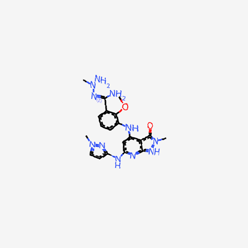 COc1c(Nc2cc(Nc3ccn(C)n3)nc3[nH]n(C)c(=O)c23)cccc1/C(N)=N/N(C)N